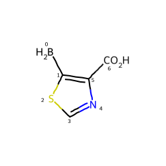 Bc1scnc1C(=O)O